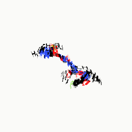 Cc1n[nH]c(Nc2ncnc3cc(OCCCN4CCN(C(=O)c5cnc(N6CCN(C[C@H]7CN(C(=O)OC(C)(C)C)[C@H](C)CN7CC(=O)N7CC(C)(C)c8c7cc(Cc7ccc(F)cc7)c(=O)n8C)[C@H](C)C6)cn5)CC4)c(S(=O)(=O)C(C)(C)C)cc23)c1C